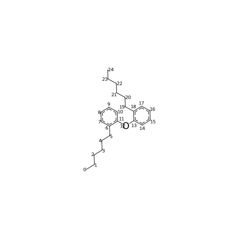 CCCCCCc1ccccc1Oc1ccccc1CCCCCC